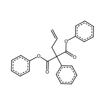 C=CCC(C(=O)Oc1ccccc1)(C(=O)Oc1ccccc1)c1ccccc1